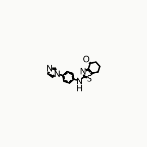 O=C1CCCc2sc(Nc3ccc(-n4ccnc4)cc3)nc21